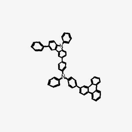 c1ccc(-c2ccc3c(c2)c2cc(-c4ccc(N(c5ccccc5)c5ccc(-c6ccc7c8ccccc8c8ccccc8c7c6)cc5)cc4)ccc2n3-c2ccccc2)cc1